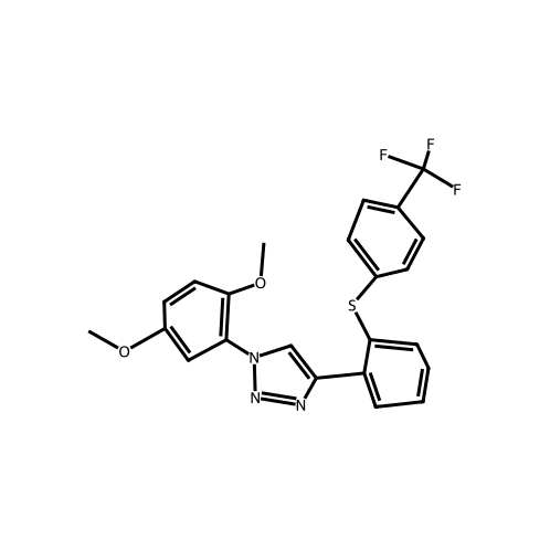 COc1ccc(OC)c(-n2cc(-c3ccccc3Sc3ccc(C(F)(F)F)cc3)nn2)c1